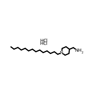 CCCCCCCCCCCCCCN1CCC(CN)CC1.Cl.Cl